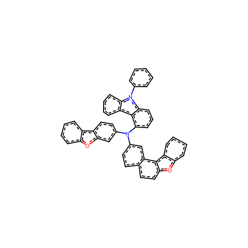 c1ccc(-n2c3ccccc3c3c(N(c4ccc5c(c4)oc4ccccc45)c4ccc5ccc6oc7ccccc7c6c5c4)cccc32)cc1